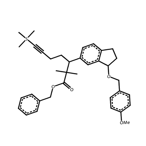 COc1ccc(COC2CCc3ccc(C(CCC#CS(C)(C)C)C(C)(C)C(=O)OCc4ccccc4)cc32)cc1